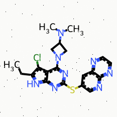 CCc1[nH]c2nc(Sc3cnc4nccnc4c3)nc(N3CC(N(C)C)C3)c2c1Cl